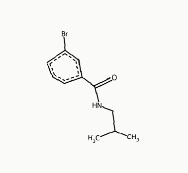 CC(C)CNC(=O)c1cccc(Br)c1